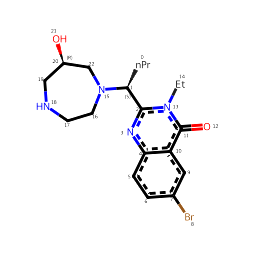 CCC[C@@H](c1nc2ccc(Br)cc2c(=O)n1CC)N1CCNC[C@@H](O)C1